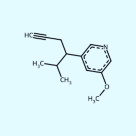 C#CCC(c1cncc(OC)c1)C(C)C